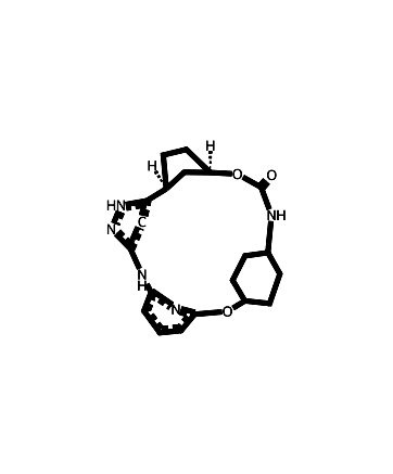 O=C1NC2CCC(CC2)Oc2cccc(n2)Nc2cc([nH]n2)[C@H]2CC[C@H](C2)O1